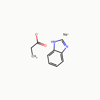 CCC(=O)[O-].[Na+].c1ccc2[nH]cnc2c1